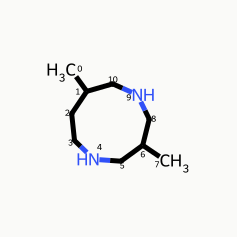 CC1CCNCC(C)CNC1